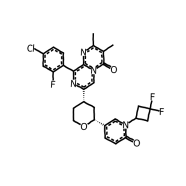 Cc1nc2c(-c3ccc(Cl)cc3F)nc([C@H]3CCO[C@@H](c4ccc(=O)n(C5CC(F)(F)C5)c4)C3)cn2c(=O)c1C